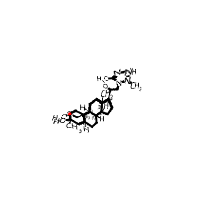 COC[C@]12CC[C@@](C)(O)C[C@@H]1CC[C@H]1[C@@H]3CC[C@H](C(=O)CN4C(C)=NNN4C)[C@@]3(C)CC[C@@H]12